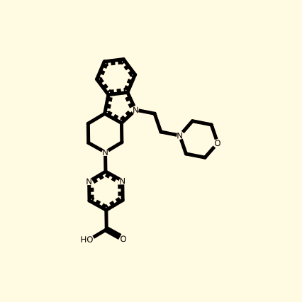 O=C(O)c1cnc(N2CCc3c(n(CCN4CCOCC4)c4ccccc34)C2)nc1